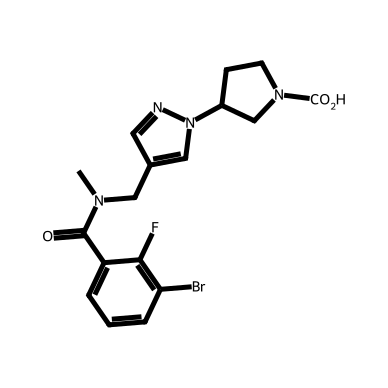 CN(Cc1cnn(C2CCN(C(=O)O)C2)c1)C(=O)c1cccc(Br)c1F